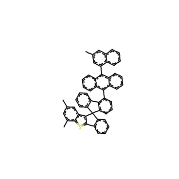 Cc1cc(-c2c3ccccc3c(-c3cccc4c3-c3ccccc3C43c4ccccc4-c4sc5c(C)cc(C)cc5c43)c3ccccc23)c2ccccc2c1